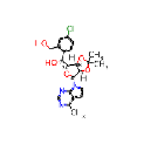 Cc1ncnc2c1ccn2[C@@H]1O[C@H]([C@H](O)c2ccc(Cl)cc2CO)[C@H]2OC(C)(C)O[C@H]21